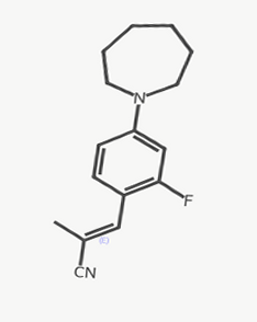 C/C(C#N)=C\c1ccc(N2CCCCCC2)cc1F